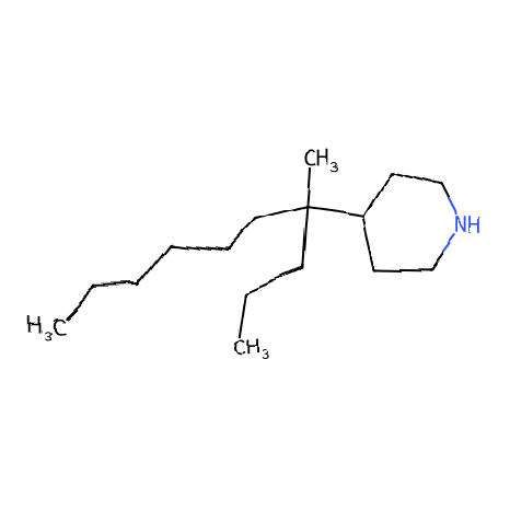 CCCCCCC(C)(CCC)C1CCNCC1